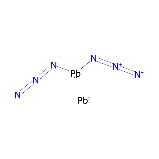 [N-]=[N+]=[N][Pb][N]=[N+]=[N-].[Pb]